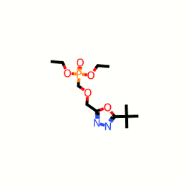 CCOP(=O)(COCc1nnc(C(C)(C)C)o1)OCC